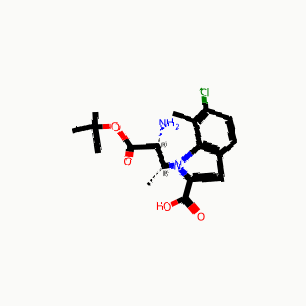 Cc1c(Cl)ccc2cc(C(=O)O)n([C@H](C)[C@@H](N)C(=O)OC(C)(C)C)c12